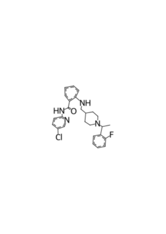 CC(c1ccccc1F)N1CCC(CNc2ccccc2C(=O)Nc2ccc(Cl)cn2)CC1